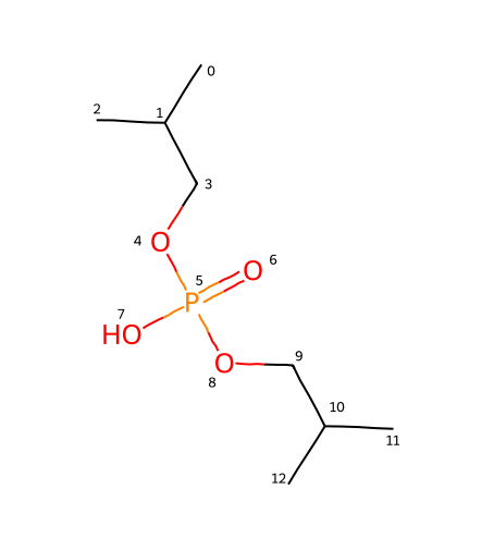 CC(C)COP(=O)(O)OCC(C)C